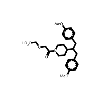 COc1ccc(CC(Cc2ccc(OC)cc2)C2CCN(C(=O)COCC(=O)O)CC2)cc1